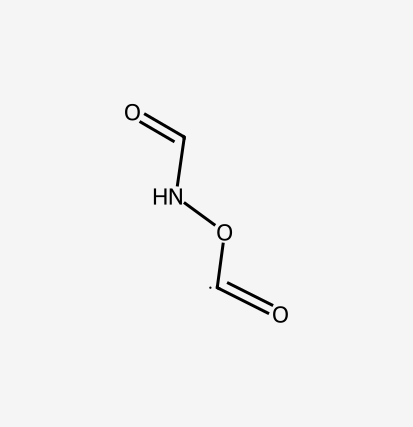 O=[C]ONC=O